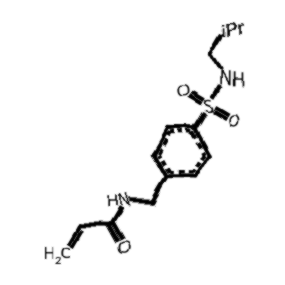 C=CC(=O)NCc1ccc(S(=O)(=O)NCC(C)C)cc1